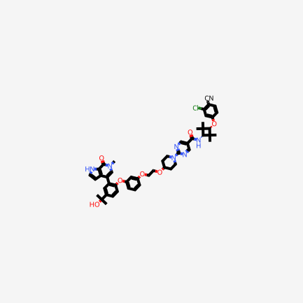 Cn1cc(-c2cc(C(C)(C)O)ccc2Oc2cccc(OCCOC3CCN(c4ncc(C(=O)N[C@H]5C(C)(C)[C@H](Oc6ccc(C#N)c(Cl)c6)C5(C)C)cn4)CC3)c2)c2cc[nH]c2c1=O